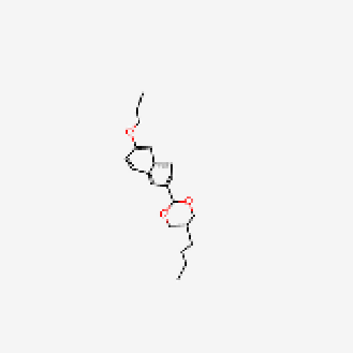 CCCCC1COC(c2ccc3cc(OCCC)ccc3c2)OC1